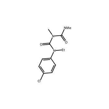 CCN(C(=O)N(C)C(=O)NC)c1ccc(Cl)cc1